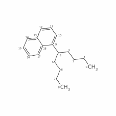 CCCCC(CCCC)c1cccc2ccccc12